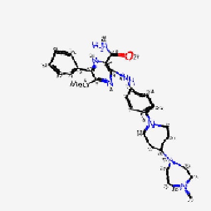 COc1nc(Nc2ccc(N3CCC(N4CCN(C)CC4)CC3)cc2)c(C(N)=O)nc1-c1ccccc1